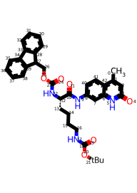 Cc1cc(=O)[nH]c2cc(NC(=O)[C@H](CCCCNC(=O)OC(C)(C)C)NC(=O)OCC3c4ccccc4-c4ccccc43)ccc12